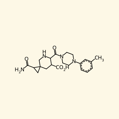 Cc1cccc(N2CCN(C(=O)C3NCC4(CC3C(=O)O)CC4C(N)=O)CC2)c1